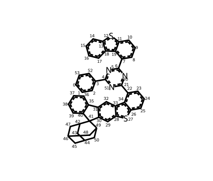 c1ccc(-c2nc(-c3cccc4sc5ccccc5c34)nc(-c3cccc4sc5cc6c(cc5c34)-c3ccccc3C63C4CC5CC(C4)CC3C5)n2)cc1